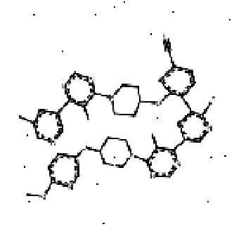 COc1ccc(OC2CCN(c3ncnc(-c4cnc(F)c(-c5ccc(C#N)cc5OC5CCN(c6ncnc(-c7cncc(C)c7)c6C)CC5)c4)c3C)CC2)cn1